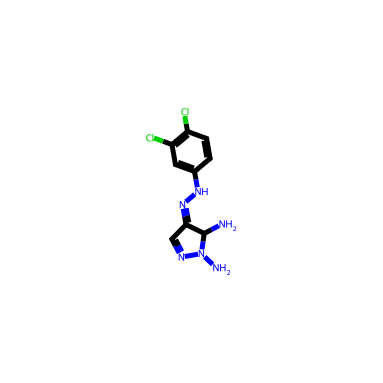 NC1C(=NNc2ccc(Cl)c(Cl)c2)C=NN1N